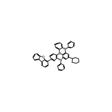 c1ccc(N2c3ccccc3B3c4ccc(-c5cccc6c5oc5ccccc56)cc4N(c4ccccc4)c4cc(C5CCCCC5)cc2c43)cc1